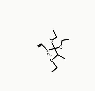 C=C[SiH2]C(OCC)(OCC)C(C)OCC